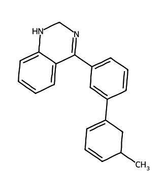 CC1C=CC=C(c2cccc(C3=NCNc4ccccc43)c2)C1